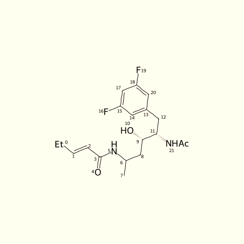 CCC=CC(=O)NC(C)C[C@H](O)[C@H](Cc1cc(F)cc(F)c1)NC(C)=O